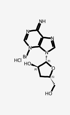 Cl.N=c1ncn(Br)c2c1ncn2[C@@H]1O[C@H](CO)C[C@H]1O